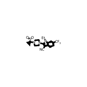 CCn1c(N2CCN(C3([SH](=O)=O)CC3)CC2)c(C#N)c2ccc(C(F)(F)F)cc21